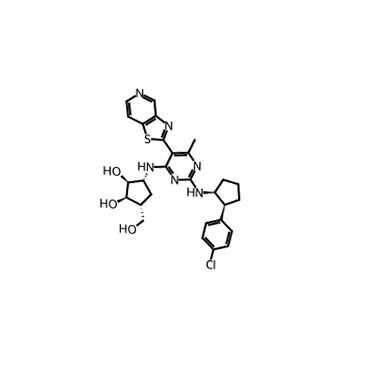 Cc1nc(N[C@H]2CCC[C@H]2c2ccc(Cl)cc2)nc(N[C@@H]2C[C@H](CO)[C@@H](O)[C@H]2O)c1-c1nc2cnccc2s1